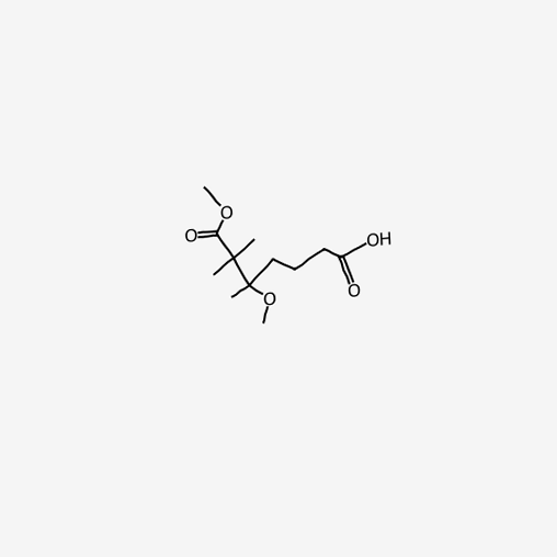 COC(=O)C(C)(C)C(C)(CCCC(=O)O)OC